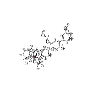 COCOc1cc(-c2cnnc(OC)c2)c(F)cc1-c1cnc(N(C)[C@H]2C[C@]3(C)CC[C@](C)([C@H]2F)N3C(=O)OC(C)(C)C)cn1